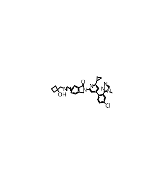 Cn1cnnc1-c1cc(Cl)ccc1-c1cc(C2CC2)nc(N2Cc3ccc(CNCC4(O)CCC4)cc3C2=O)c1